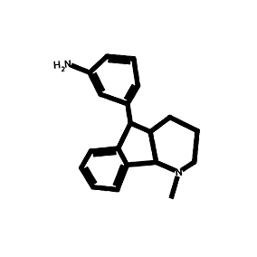 CN1CCCC2C(c3cccc(N)c3)c3ccccc3C21